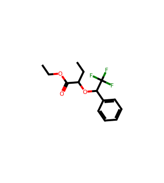 CCOC(=O)C(CC)OC(c1ccccc1)C(F)(F)F